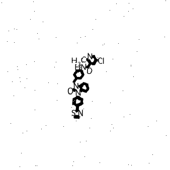 Cc1ncc(Cl)cc1C(=O)NC1CCC(Cn2c(=O)n(-c3ccc(-c4nccs4)cc3)c3ccccc32)CC1